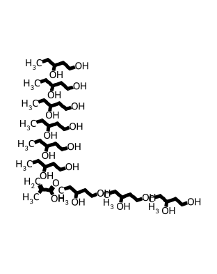 C=C(C)C(=O)O.CCC(O)CCO.CCC(O)CCO.CCC(O)CCO.CCC(O)CCO.CCC(O)CCO.CCC(O)CCO.CCC(O)CCO.CCC(O)CCO.CCC(O)CCO